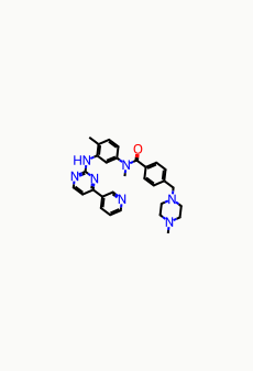 Cc1ccc(N(C)C(=O)c2ccc(CN3CCN(C)CC3)cc2)cc1Nc1nccc(-c2cccnc2)n1